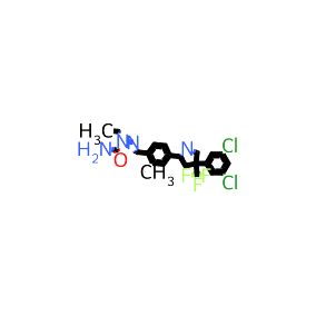 CCN(N=Cc1ccc(C2=NCC(c3cc(Cl)cc(Cl)c3)(C(F)(F)F)C2)cc1C)C(N)=O